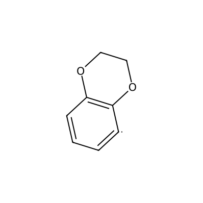 [c]1cccc2c1OCCO2